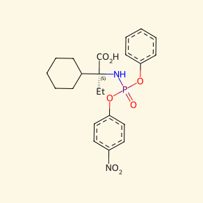 CC[C@@](NP(=O)(Oc1ccccc1)Oc1ccc([N+](=O)[O-])cc1)(C(=O)O)C1CCCCC1